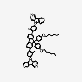 CCCCCCOc1ccc(C2(c3ccc(OCCCCCC)cc3)c3cc(-c4ccc(-n5c6ccncc6c6cnccc65)cc4C)ccc3-c3ccc(-c4ccc(-n5c6ccncc6c6cnccc65)cc4C)cc32)cc1